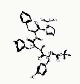 CN(C(=O)[C@H](Cc1ccccc1)N(C)C(=O)[C@H](Cc1ccc(O)cc1)NC(=O)OC(C)(C)C)C(Cc1ccccc1)C(=O)N1CCC[C@H]1C(=O)O